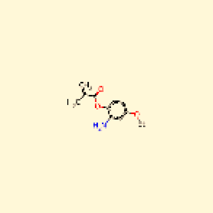 C=C(C)C(=O)Oc1ccc(OCC)cc1N